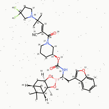 CC1(C)[C@@H]2C[C@H]3OB([C@H](Cc4coc5ccccc45)NC(=O)O[C@H]4CCCN(C(=O)/C(C#N)=C/C(C)(C)N5CCC(F)(F)C5)C4)O[C@@]3(C)[C@H]1C2